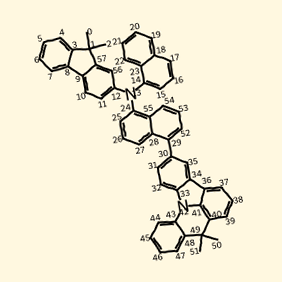 CC1(C)c2ccccc2-c2ccc(N(c3cccc4ccccc34)c3cccc4c(-c5ccc6c(c5)c5cccc7c5n6-c5ccccc5C7(C)C)cccc34)cc21